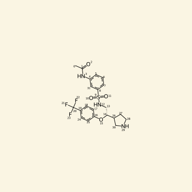 CC(=O)Nc1cccc(S(=O)(=O)NC[C@@H](Oc2ccc(C(F)(F)F)cc2)C2CCNC2)c1